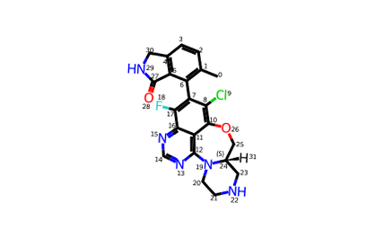 Cc1ccc2c(c1-c1c(Cl)c3c4c(ncnc4c1F)N1CCNC[C@H]1CO3)C(=O)NC2